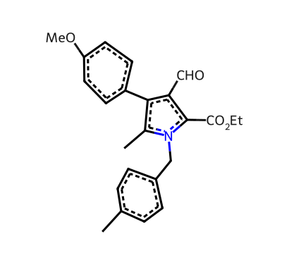 CCOC(=O)c1c(C=O)c(-c2ccc(OC)cc2)c(C)n1Cc1ccc(C)cc1